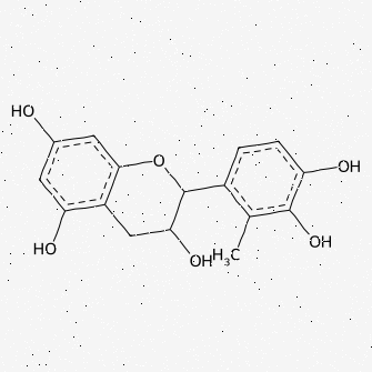 Cc1c(C2Oc3cc(O)cc(O)c3CC2O)ccc(O)c1O